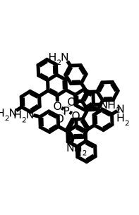 Nc1ccc(-c2cc3ccccc3c(-c3ccc(N)cc3)c2OP(=O)(Oc2c(-c3ccc(N)cc3)cc3ccccc3c2-c2ccc(N)cc2)Oc2c(-c3ccc(N)cc3)cc3ccccc3c2-c2ccc(N)cc2)cc1